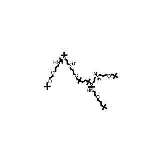 CC(C)(C)CCCOCCNC(C)(C)N(CCS(=O)(=O)CCCOCC(C)(C)C)C(C)(C)CCC(C)(C)COCCC[S+]([O-])CCN(C(C)(C)C)C(C)(C)NCCCOCCOCC(C)(C)C